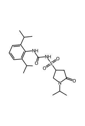 CC(C)c1cccc(C(C)C)c1NC(=O)NS(=O)(=O)C1CC(=O)N(C(C)C)C1